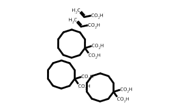 C=CC(=O)O.C=CC(=O)O.O=C(O)C1(C(=O)O)CCCCCCCCC1.O=C(O)C1(C(=O)O)CCCCCCCCC1.O=C(O)C1(C(=O)O)CCCCCCCCC1